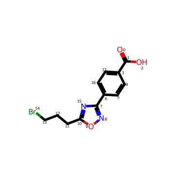 O=C(O)c1ccc(-c2noc(CCCBr)n2)cc1